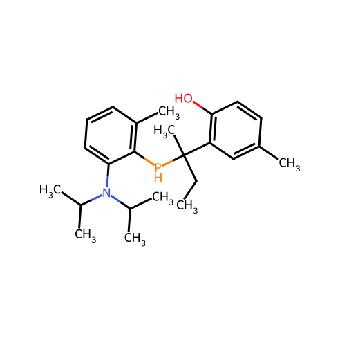 CCC(C)(Pc1c(C)cccc1N(C(C)C)C(C)C)c1cc(C)ccc1O